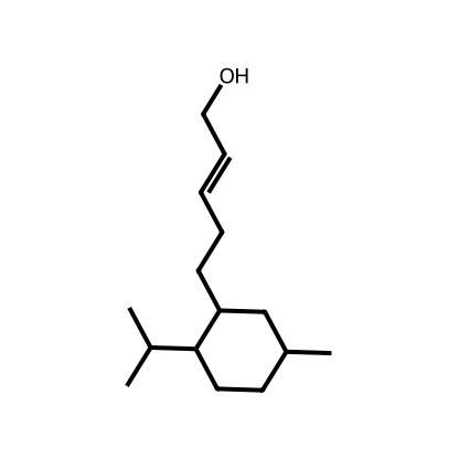 CC1CCC(C(C)C)C(CCC=CCO)C1